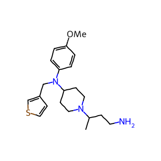 COc1ccc(N(Cc2ccsc2)C2CCN(C(C)CCN)CC2)cc1